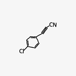 N#CC#Cc1ccc(Cl)cc1